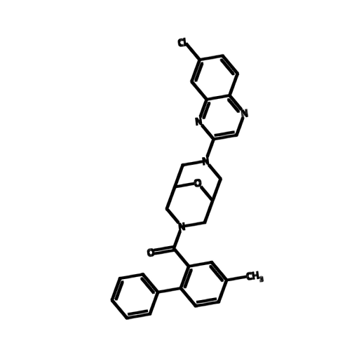 Cc1ccc(-c2ccccc2)c(C(=O)N2CC3CN(c4cnc5ccc(Cl)cc5n4)CC(C2)O3)c1